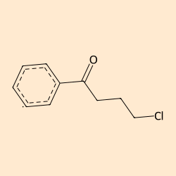 O=C(CCCCl)c1c[c]ccc1